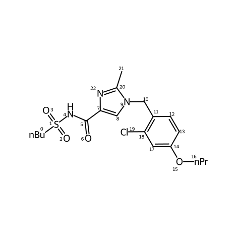 CCCCS(=O)(=O)NC(=O)c1cn(Cc2ccc(OCCC)cc2Cl)c(C)n1